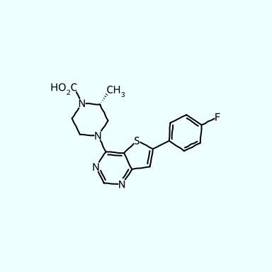 C[C@@H]1CN(c2ncnc3cc(-c4ccc(F)cc4)sc23)CCN1C(=O)O